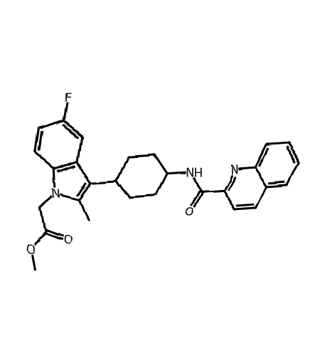 COC(=O)Cn1c(C)c(C2CCC(NC(=O)c3ccc4ccccc4n3)CC2)c2cc(F)ccc21